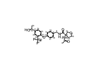 CC(=O)NC1(C(=O)NCc2ccc(Oc3ccc(C(C)O)cc3C(F)(F)F)cc2)CCOC1